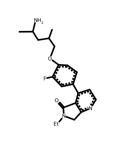 CCN1Cc2nccc(-c3ccc(OCC(C)CC(C)N)c(F)c3)c2C1=O